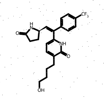 O=C1CC[C@H](/C=C(/c2ccc(C(F)(F)F)cc2)c2ccc(CCCCO)c(=O)[nH]2)N1